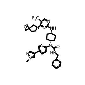 Cn1cc(-c2ccc(N(C(=O)NCc3ccccc3)[C@H]3CC[C@H](Nc4ncc(C(F)(F)F)c(N5CCC6(COC6)C5)n4)CC3)nc2)cn1